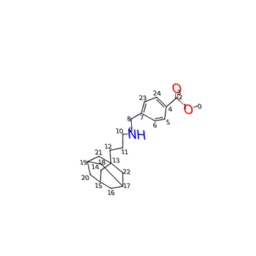 COC(=O)c1ccc(CNCCCC23CC4CC(CC(C4)C2)C3)cc1